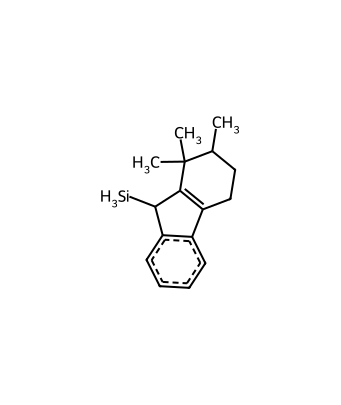 CC1CCC2=C(C([SiH3])c3ccccc32)C1(C)C